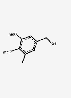 COc1cc(CO)cc(C)c1OC